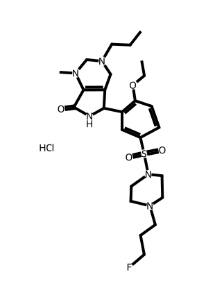 CCCN1CC2=C(C(=O)NC2c2cc(S(=O)(=O)N3CCN(CCCF)CC3)ccc2OCC)N(C)C1.Cl